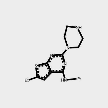 CCc1cc2c(NC(C)C)nc(N3CCNCC3)nc2s1